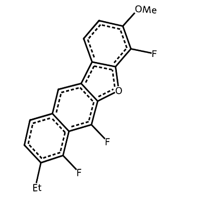 CCc1ccc2cc3c(oc4c(F)c(OC)ccc43)c(F)c2c1F